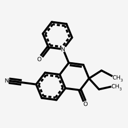 CCC1(CC)C=C(n2ccccc2=O)c2cc(C#N)ccc2C1=O